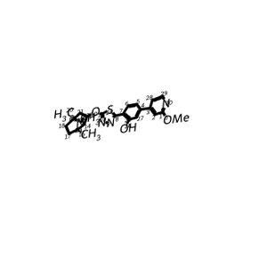 COc1cc(-c2ccc(-c3nnc(OC4C[C@]5(C)CC[C@](C)(C4)N5C)s3)c(O)c2)ccn1